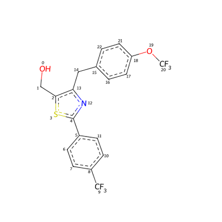 OCc1sc(-c2ccc(C(F)(F)F)cc2)nc1Cc1ccc(OC(F)(F)F)cc1